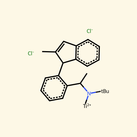 CC1=Cc2ccccc2C1c1ccccc1C(C)[N]([Ti+2])C(C)(C)C.[Cl-].[Cl-]